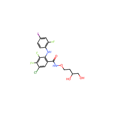 O=C(NOCCC(O)CO)c1cc(Cl)c(F)c(F)c1Nc1ccc(I)cc1F